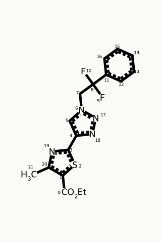 CCOC(=O)c1sc(-c2cn(CC(F)(F)c3ccccc3)nn2)nc1C